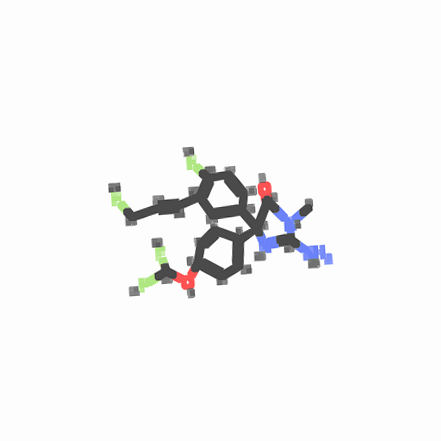 CN1C(=O)[C@@](c2ccc(OC(F)F)cc2)(c2ccc(F)c(C#CCF)c2)N=C1N